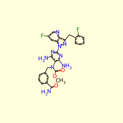 COC(=O)N(Cc1cccc(C(N)=O)c1)c1c(N)nc(-n2nc(Cc3ccccc3F)c3ncc(F)cc32)nc1N